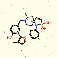 Cc1ccsc1-c1cc(CN2CC[C@]3(C=CS(O)(O)N3c3cccc(F)c3)C[C@@H]2C)ccc1O